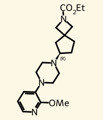 CCOC(=O)N1CC2(CC[C@@H](N3CCN(c4cccnc4OC)CC3)C2)C1